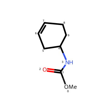 COC(=O)NC1CC=CCC1